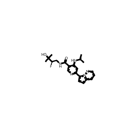 CC(C)Nc1cc(-c2ccc3cccnn23)ncc1C(=O)NC[C@@H](F)C(C)(C)O